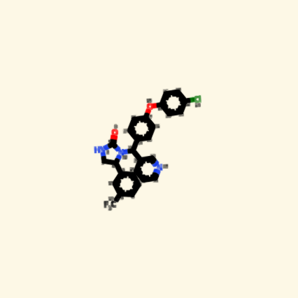 O=C1NCC(c2cccc(C(F)(F)F)c2)N1C(c1ccc(Oc2ccc(Cl)cc2)cc1)c1cccnc1